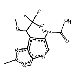 COC(c1c(NC(=O)O)cnc2sc(C)nc12)C(F)(F)F